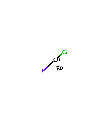 [Cl][Cu][I].[Rb]